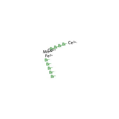 [Br-].[Br-].[Br-].[Br-].[Br-].[Br-].[Br-].[Br-].[Br-].[Ce+3].[Co+2].[Fe+2].[Mn+2]